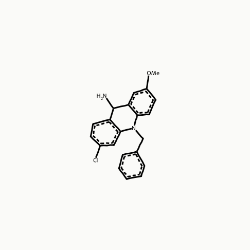 COc1ccc2c(c1)C(N)c1ccc(Cl)cc1N2Cc1ccccc1